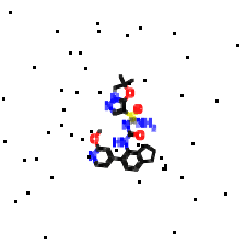 COc1cc(-c2ccc3c(c2NC(=O)N=[S@](N)(=O)c2cnn4c2OC(C)(C)C4)CCC3)ccn1